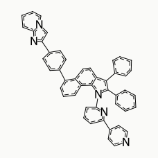 c1ccc(-c2c(-c3ccccc3)n(-c3cccc(-c4ccncc4)n3)c3c2ccc2c(-c4ccc(-c5cn6ccccc6n5)cc4)cccc23)cc1